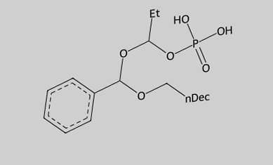 CCCCCCCCCCCOC(OC(CC)OP(=O)(O)O)c1ccccc1